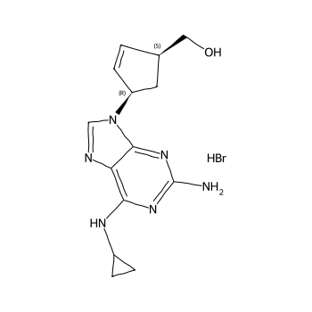 Br.Nc1nc(NC2CC2)c2ncn([C@H]3C=C[C@@H](CO)C3)c2n1